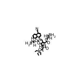 BNPOC(=O)C1=C(CN(C(=O)OPNB)c2ccc(C#N)c3ccccc23)[C@H](C)[C@@H]2[C@@H]([C@@H](C)O[Si](CC)(CC)CC)C(=O)N12